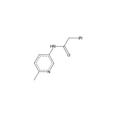 Cc1ccc(NC(=O)CC(C)C)cn1